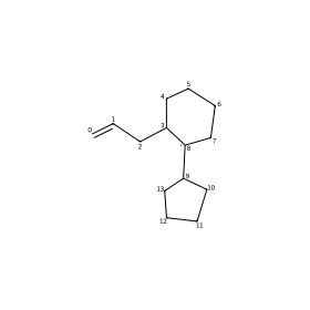 C=CCC1CCCC[C]1C1CCCC1